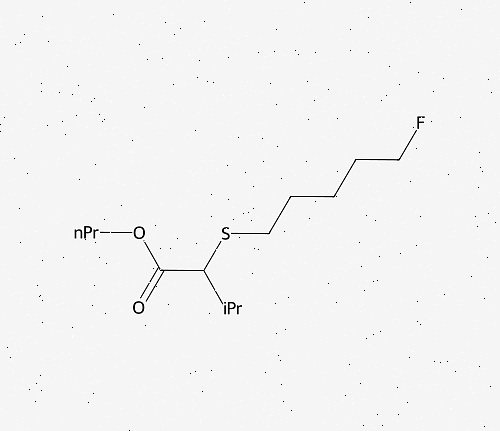 CCCOC(=O)C(SCCCCCF)C(C)C